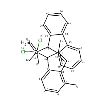 CC1=Cc2c(C)cccc2[CH]1[Zr]([CH3])([CH3])(=[SiH2])([Cl])([Cl])[CH]1c2ccccc2-c2ccccc21